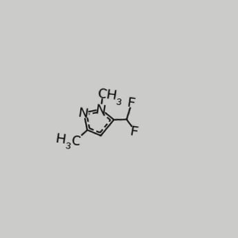 Cc1cc(C(F)F)n(C)n1